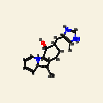 CCc1c2c(n3ccccc13)C(=O)C(Cc1nc[nH]c1C)CC2